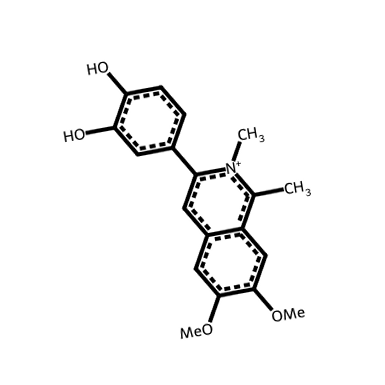 COc1cc2cc(-c3ccc(O)c(O)c3)[n+](C)c(C)c2cc1OC